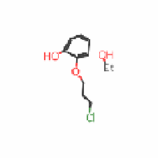 CCO.Oc1ccccc1OCCCCl